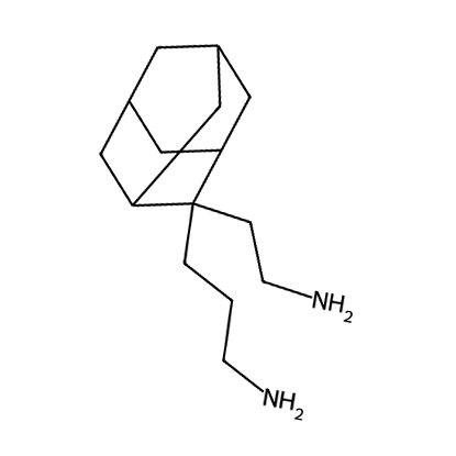 NCCCC1(CCN)C2CC3CC(C2)CC1C3